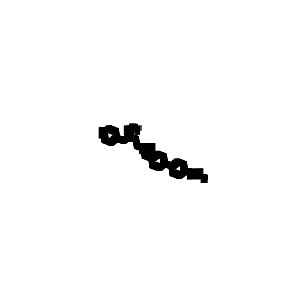 CCCN(CCNCc1ccc(-c2ccc(N)cc2)cc1)Cc1ccncc1